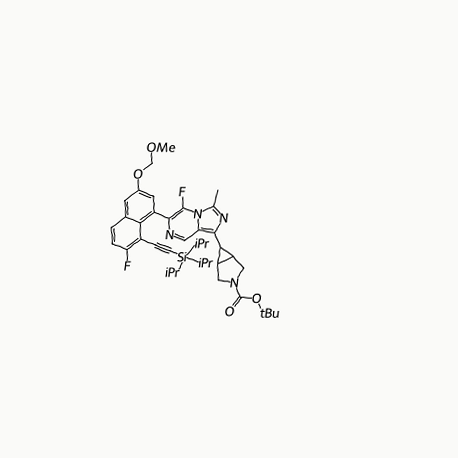 COCOc1cc(-c2ncc3c(C4C5CN(C(=O)OC(C)(C)C)CC54)nc(C)n3c2F)c2c(C#C[Si](C(C)C)(C(C)C)C(C)C)c(F)ccc2c1